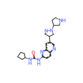 O=C(Nc1ccc2ncc(C3C=NN(C4CCNC4)C3)cc2n1)NC1CCCC1